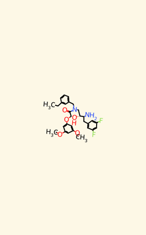 CCc1cccc(CN(C[C@@H](O)[C@@H](N)Cc2cc(F)cc(F)c2)C(=O)COc2cc(OC)cc(OC)c2)c1